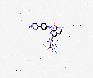 CNC(=O)C(C)(C)n1cc(-c2cc3cc[nH]c(=O)c3c(Nc3ccc(C4CCNCC4)cc3)n2)cn1